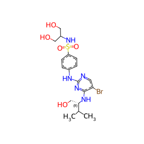 CC(C)[C@H](CO)Nc1nc(Nc2ccc(S(=O)(=O)NC(CO)CO)cc2)ncc1Br